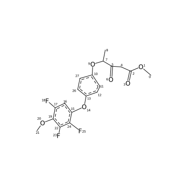 COC(=O)CC(=O)C(C)Oc1ccc(Oc2cc(F)c(OC)c(F)c2F)cc1